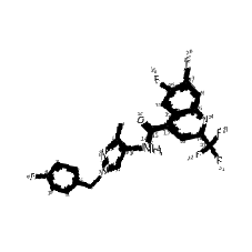 Cc1nn(Cc2ccc(F)cc2)cc1NC(=O)c1cc(C(F)(F)F)nc2cc(F)c(F)cc12